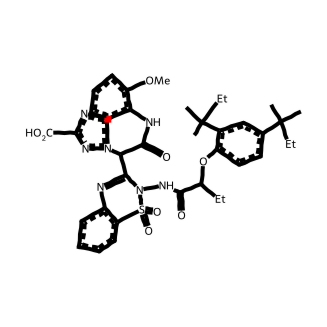 CCC(Oc1ccc(C(C)(C)CC)cc1C(C)(C)CC)C(=O)NN1C(C(C(=O)Nc2ccccc2OC)n2cnc(C(=O)O)n2)=Nc2ccccc2S1(=O)=O